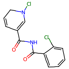 O=C(NC(=O)c1ccccc1Cl)C1=CN(Cl)CC=C1